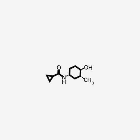 C[C@@H]1C[C@H](NC(=O)C2CC2)CC[C@H]1O